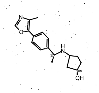 Cc1ncoc1-c1ccc([C@H](C)NC2CC[C@@H](O)C2)cc1